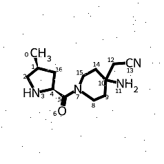 C[C@@H]1CN[C@H](C(=O)N2CCC(N)(CC#N)CC2)C1